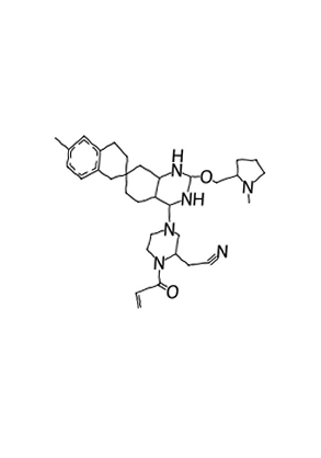 C=CC(=O)N1CCN(C2NC(OCC3CCCN3C)NC3CC4(CCc5cc(C)ccc5C4)CCC32)CC1CC#N